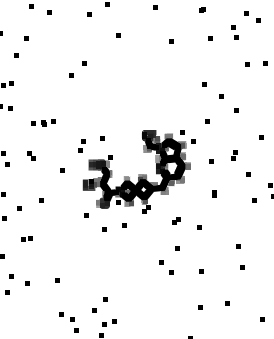 CC[C@H](CO)C(=O)N1CC2(CC(Cc3ccc4ccn(CC(F)(F)F)c4n3)C2)C1